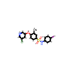 N#Cc1cc(S(=O)(=O)Nc2ccc(I)cc2)ccc1Oc1cncc(Cl)c1